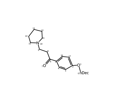 CCCCCCCCCCOc1ccc(C(=O)CCN2CCCCC2)cc1